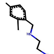 Cc1ccc(CNCCN)c(C)c1